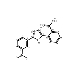 CN(C)c1cccc(-c2nnc(-c3ccccc3C(=O)O)o2)c1